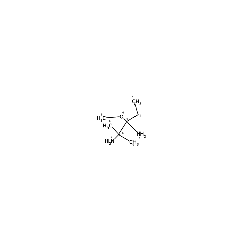 CCC(N)(OC)C(C)(C)N